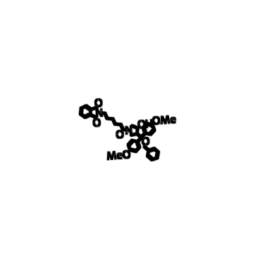 COc1ccc(C(OCc2ccccc2)(c2ccc(OC)cc2)C2CN(C(=O)CCCCCN3C(=O)c4ccccc4C3=O)CC2O)cc1